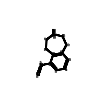 O=Nc1cccc2c1CCNCC2